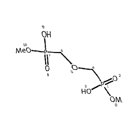 COP(=O)(O)COCP(=O)(O)OC